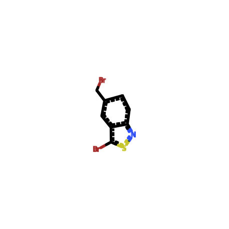 BrCc1ccc2nsc(Br)c2c1